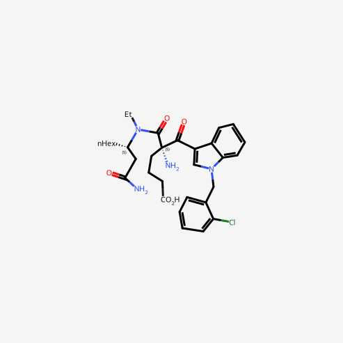 CCCCCC[C@@H](CC(N)=O)N(CC)C(=O)[C@](N)(CCCC(=O)O)C(=O)c1cn(Cc2ccccc2Cl)c2ccccc12